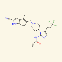 C=CC(=O)Nc1ncc(CCC(F)(F)F)n1C1CCN(Cc2ccc3[nH]c(C#N)cc3c2C)CC1